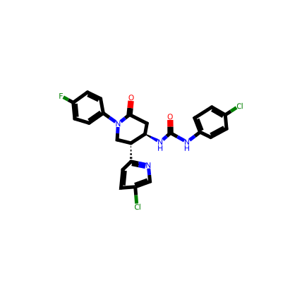 O=C(Nc1ccc(Cl)cc1)N[C@@H]1CC(=O)N(c2ccc(F)cc2)C[C@H]1c1ccc(Cl)cn1